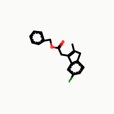 CC1=C(CC(=O)OCc2ccccc2)c2cc(F)ccc2C1